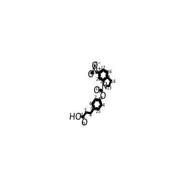 O=C(O)CCc1ccc(OC(=O)N2CCc3ccc([N+](=O)[O-])cc32)cc1